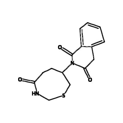 O=C1CCC(N2C(=O)Cc3ccccc3C2=O)CSCN1